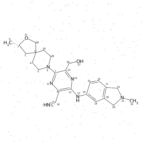 C[C@H]1CC2(CCN(c3nc(C=N)c(Nc4ccc5c(c4)CN(C)C5)nc3CO)CC2)CO1